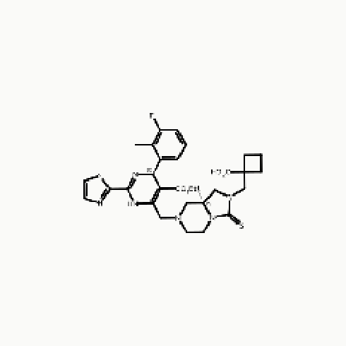 CCOC(=O)C1=C(CN2CCN3C(=S)N(CC4(C(=O)O)CCC4)C[C@@H]3C2)NC(c2nccs2)=N[C@H]1c1cccc(F)c1C